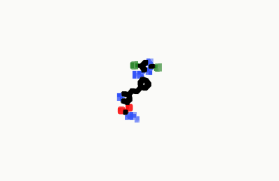 NC(=O)Oc1cncc(C=Cc2cccc(Nc3nc(Cl)ncc3Cl)c2)c1